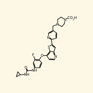 O=C(Nc1ccc(Oc2ccnc3cc(-c4ccc(CN5CCN(C(=O)O)CC5)cn4)sc23)c(F)c1)NC1CC1